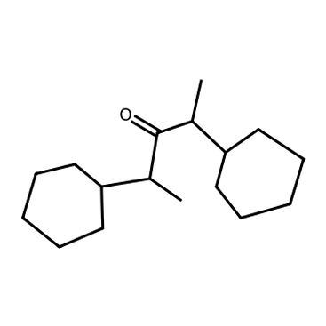 CC(C(=O)C(C)C1CCCCC1)C1CCCCC1